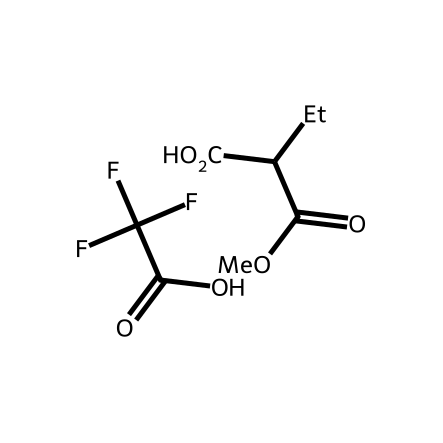 CCC(C(=O)O)C(=O)OC.O=C(O)C(F)(F)F